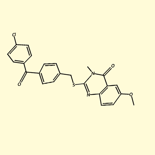 COc1ccc2nc(SCc3ccc(C(=O)c4ccc(Cl)cc4)cc3)n(C)c(=O)c2c1